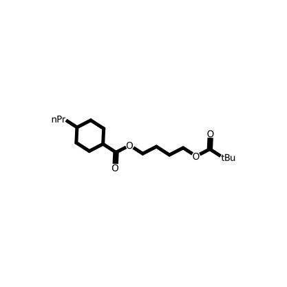 CCCC1CCC(C(=O)OCCCCOC(=O)C(C)(C)C)CC1